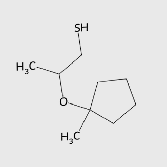 CC(CS)OC1(C)CCCC1